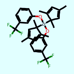 CC1=C[C](C)([Zr]([O]c2cccc(C(F)(F)F)c2)([O]c2cccc(C(F)(F)F)c2)[C]2(C)C=C(C)C=C2C)C(C)=C1